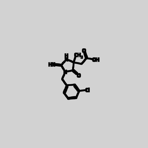 CC1(CC(=O)O)NC(=N)N(Cc2cccc(Cl)c2)C1=O